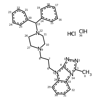 Cc1nnc2n(CCCN3CCN(C(c4ccccc4)c4ccccc4)CC3)c3ccccc3n12.Cl.Cl